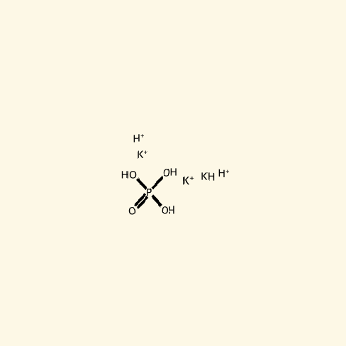 O=P(O)(O)O.[H+].[H+].[K+].[K+].[KH]